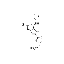 O=C(O)C[C@H]1CSC(c2cc3cc(Cl)cc(NC4CCCC4)c3[nH]2)=N1